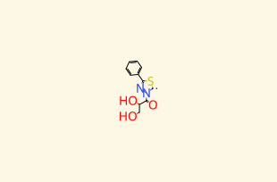 O=C(C(O)CO)N1[CH]SC(c2ccccc2)=N1